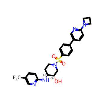 O=S(=O)(c1ccc(-c2ccc(N3CCC3)nc2)cc1)N1CC[C@@H](Nc2ccc(C(F)(F)F)cn2)[C@@H](O)C1